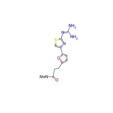 CNC(=O)CCc1ccc(-c2csc(N=C(N)N)n2)o1